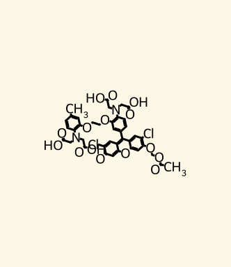 CC(=O)OCOc1cc2oc3cc(=O)c(Cl)cc-3c(-c3ccc(N(CC(=O)O)CC(=O)O)c(OCCOc4cc(C)ccc4N(CC(=O)O)CC(=O)O)c3)c2cc1Cl